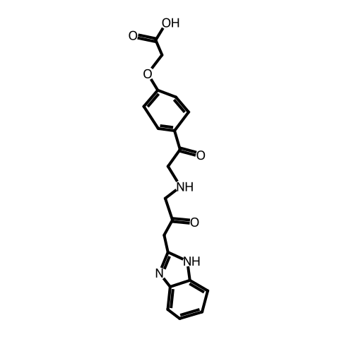 O=C(O)COc1ccc(C(=O)CNCC(=O)Cc2nc3ccccc3[nH]2)cc1